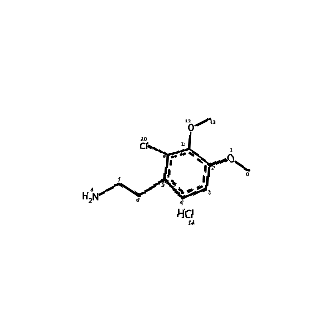 COc1ccc(CCN)c(Cl)c1OC.Cl